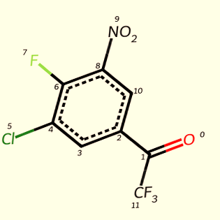 O=C(c1cc(Cl)c(F)c([N+](=O)[O-])c1)C(F)(F)F